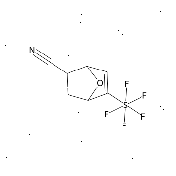 N#CC1CC2OC1C=C2S(F)(F)(F)(F)F